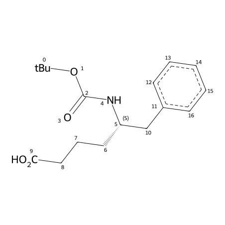 CC(C)(C)OC(=O)N[C@@H](CCCC(=O)O)Cc1ccccc1